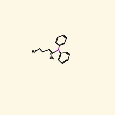 CCCC[C@@H](C)P(c1ccccc1)c1ccccc1